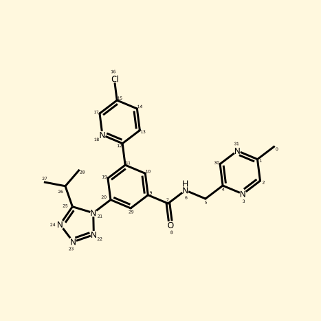 Cc1cnc(CNC(=O)c2cc(-c3ccc(Cl)cn3)cc(-n3nnnc3C(C)C)c2)cn1